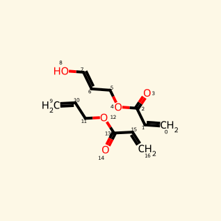 C=CC(=O)OCC=CO.C=CCOC(=O)C=C